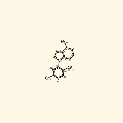 N#Cc1cccc2c1ccn2-c1nc(Cl)ncc1C(F)(F)F